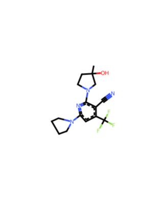 CC1(O)CCN(c2nc(N3CCCC3)cc(C(F)(F)F)c2C#N)C1